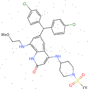 COCCNc1cc(C(c2ccc(Cl)cc2)c2ccc(Cl)cc2)cc2c(NC3CCN(S(=O)(=O)C(F)(F)F)CC3)cc(=O)[nH]c12